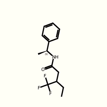 CCC(CC(=O)N[C@@H](C)c1ccccc1)C(F)(F)F